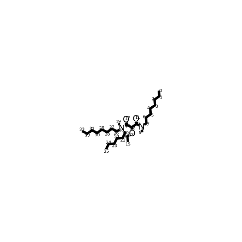 CCCCCCCCN(C)C(=O)C(OCC)C(=O)[N+](C)(CCCCCC)CCCCCCCC